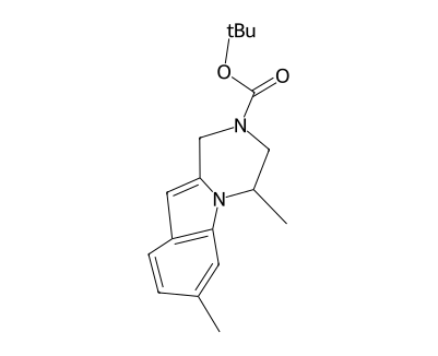 Cc1ccc2cc3n(c2c1)C(C)CN(C(=O)OC(C)(C)C)C3